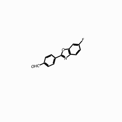 O=Cc1ccc(-c2nc3ccc(F)cc3o2)cc1